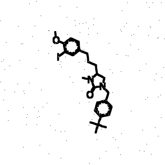 COc1ccc(CCCC2CN(Cc3ccc(C(C)(C)C)cc3)C(=O)N2C)cc1I